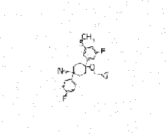 CSc1cc(F)cc(C2(OCC3CC3)CCC(C#N)(c3ccc(F)cc3)CC2)c1